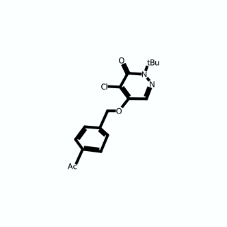 CC(=O)c1ccc(COc2cnn(C(C)(C)C)c(=O)c2Cl)cc1